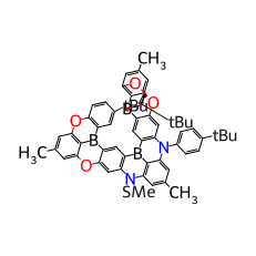 CSN1c2cc3c(cc2B2c4cc5c(cc4N(c4ccc(C(C)(C)C)cc4)c4cc(C)cc1c42)Oc1cc(C)cc2c1B5c1cc(C(C)(C)C)ccc1O2)B1c2cc(C(C)(C)C)ccc2Oc2cc(C)cc(c21)O3